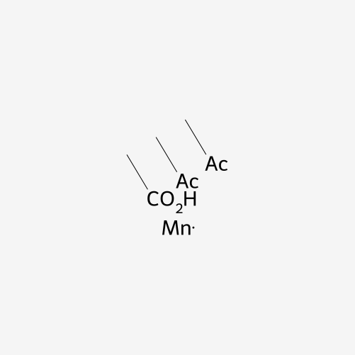 CC(=O)O.CC(C)=O.CC(C)=O.[Mn]